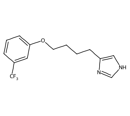 FC(F)(F)c1cccc(OCCCCc2c[nH]cn2)c1